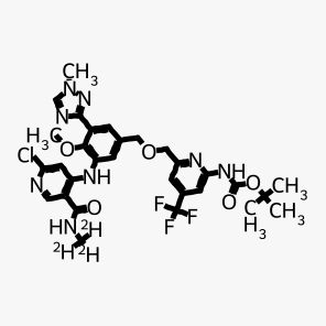 [2H]C([2H])([2H])NC(=O)c1cnc(Cl)cc1Nc1cc(COCc2cc(C(F)(F)F)cc(NC(=O)OC(C)(C)C)n2)cc(-c2ncn(C)n2)c1OC